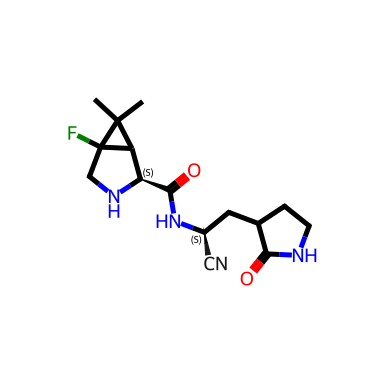 CC1(C)C2[C@@H](C(=O)N[C@H](C#N)CC3CCNC3=O)NCC21F